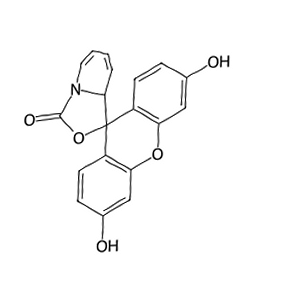 O=C1OC2(c3ccc(O)cc3Oc3cc(O)ccc32)C2C=CC=CN12